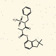 CN(C(=O)Oc1cccc2c1OC(C)(C)C2)C(=O)N(Cc1ccccc1)S(N)(=O)=O